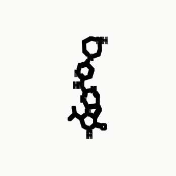 CC(C)C1CNC(=O)c2cc3cnc(Nc4ccc(N5CCCNCC5)cn4)nc3n21